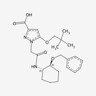 CC(C)(C)COc1cc(C(=O)O)nn1CC(=O)N[C@H]1CCCC[C@@H]1OCc1ccccc1